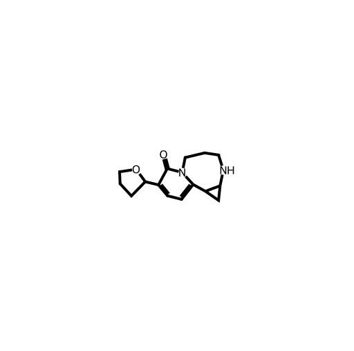 O=c1c(C2CCCO2)ccc2n1CCCNC1CC21